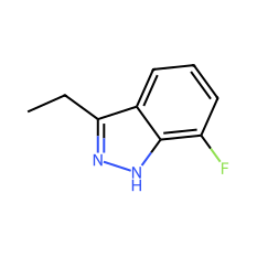 CCc1n[nH]c2c(F)cccc12